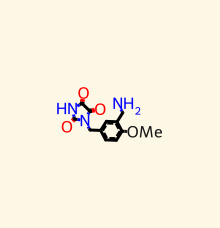 COc1ccc(CN2C(=O)NC(=O)C2=O)cc1CN